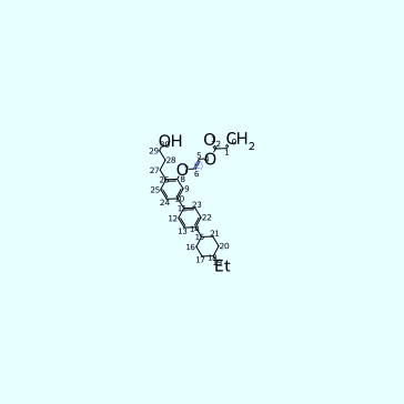 C=CC(=O)O/C=C/Oc1cc(-c2ccc(C3CCC(CC)CC3)cc2)ccc1CCCO